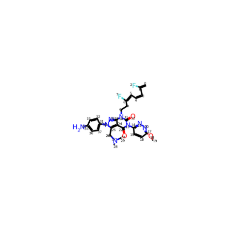 C=C(F)/C=C\C=C(\F)CCn1c(=O)n(-c2ccc(OC)nn2)c(=O)c2c(CN(C)C)n(-c3ccc(N)cc3)nc21